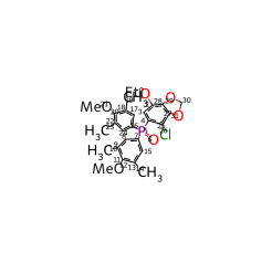 CCOc1cc(P(=O)(c2cc(C)c(OC)c(C)c2)c2cc(C)c(OC)c(C)c2)c(Cl)c2c1OCO2